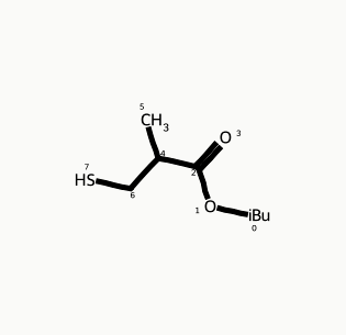 CCC(C)OC(=O)C(C)CS